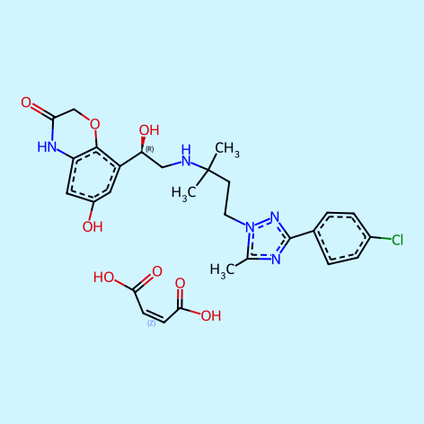 Cc1nc(-c2ccc(Cl)cc2)nn1CCC(C)(C)NC[C@H](O)c1cc(O)cc2c1OCC(=O)N2.O=C(O)/C=C\C(=O)O